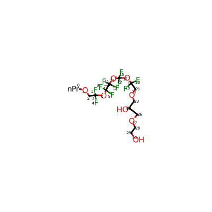 CCCOCC(F)(F)OC(F)(F)C(F)(F)OC(F)(F)OC(F)(F)COCC(O)COCCO